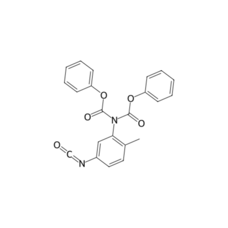 Cc1ccc(N=C=O)cc1N(C(=O)Oc1ccccc1)C(=O)Oc1ccccc1